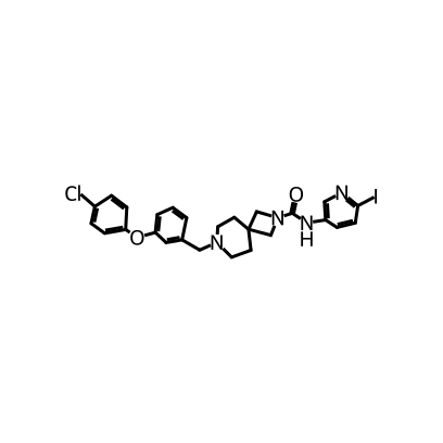 O=C(Nc1ccc(I)nc1)N1CC2(CCN(Cc3cccc(Oc4ccc(Cl)cc4)c3)CC2)C1